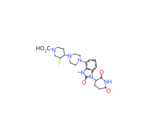 Cn1c(=O)n(C2CCC(=O)NC2=O)c2cccc(N3CCN([C@@H]4CCN(C(=O)O)C[C@@H]4F)CC3)c21